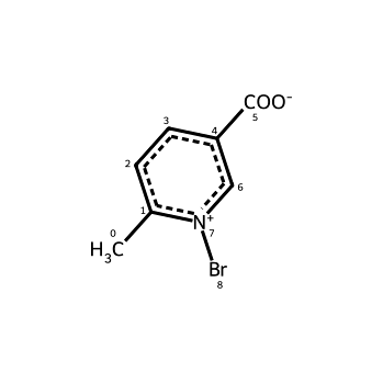 Cc1ccc(C(=O)[O-])c[n+]1Br